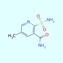 Cc1cnc(S(N)(=O)=O)c(C(N)=O)c1